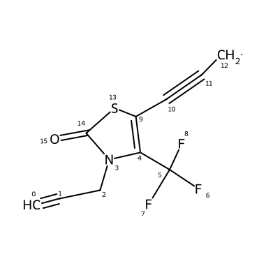 C#CCn1c(C(F)(F)F)c(C#C[CH2])sc1=O